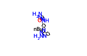 CCCCc1nc2c(N)nc3ccccc3c2n1Cc1ccc(CNn2ccc(N)nc2=O)cc1